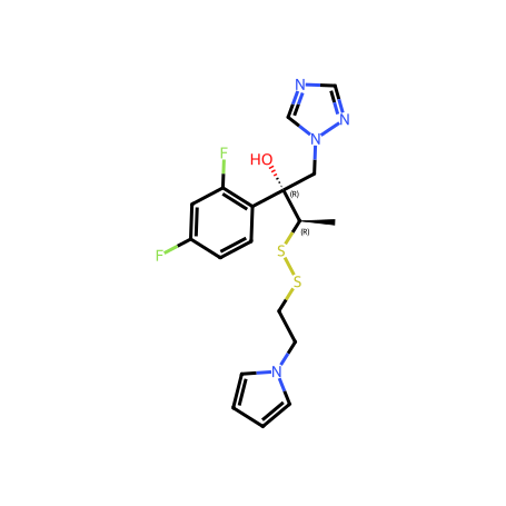 C[C@@H](SSCCn1cccc1)[C@](O)(Cn1cncn1)c1ccc(F)cc1F